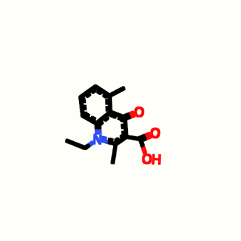 CCn1c(C)c(C(=O)O)c(=O)c2c(C)cccc21